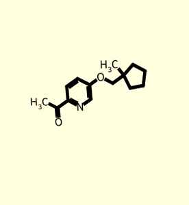 CC(=O)c1ccc(OCC2(C)CCCC2)cn1